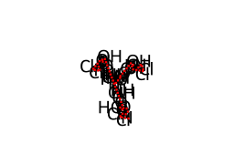 CN1Cc2c(Cl)cc(Cl)cc2[C@H](c2cccc(S(=O)(=O)N(CCO)CCOCCOCCNC(=O)NCCCN(CCCNC(=O)NCCOCCOCCN(CCO)S(=O)(=O)c3cccc([C@@H]4CN(C)Cc5c(Cl)cc(Cl)cc54)c3)CCCNC(=O)NCCOCCOCCN(CCO)S(=O)(=O)c3cccc([C@@H]4CN(C)Cc5c(Cl)cc(Cl)cc54)c3)c2)C1